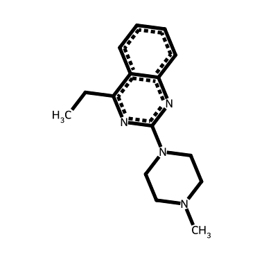 CCc1nc(N2CCN(C)CC2)nc2ccccc12